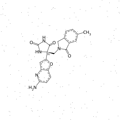 Cc1ccc2c(c1)C(=O)N(C[C@@]1(c3cc4nc(N)ccc4o3)NC(=O)NC1=O)C2